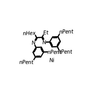 CCCCCCC(=Nc1cc(CCCCC)cc(CCCCC)c1)C(CC)=Nc1cc(CCCCC)cc(CCCCC)c1.[Ni]